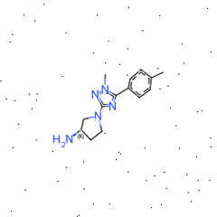 Cc1ccc(-c2nc(N3CC[C@@H](N)C3)nn2C)cc1